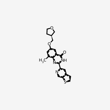 Cc1cc(OC[C@H]2CCOC2)cc2c(=O)[nH]c(-c3cc4ccsc4cn3)nc12